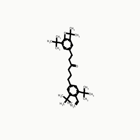 C=Cc1c(C(C)(C)C)cc(CCCC(=O)CCc2cc(C(C)(C)C)c3c(c2)C(C)(C)O3)cc1C(C)(C)C